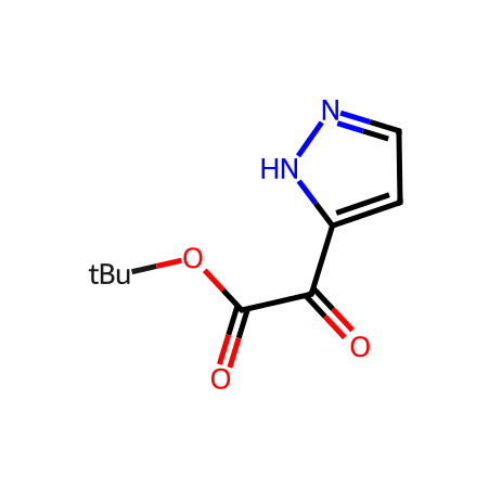 CC(C)(C)OC(=O)C(=O)c1ccn[nH]1